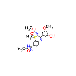 COC(=O)/N=C(SC)/C(=N\c1ccc(-c2noc(C)n2)cc1)c1cc(O)cc(OC)c1